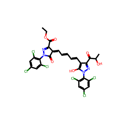 CCOC(=O)C1=NN(c2c(Cl)cc(Cl)cc2Cl)C(=O)\C1=C/C=C/C=C/c1c(C(=O)C(C)O)nn(-c2c(Cl)cc(Cl)cc2Cl)c1O